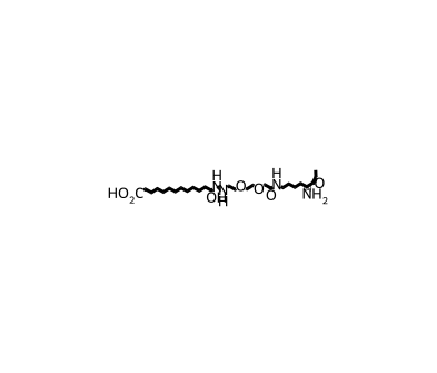 CC1=C([C@@H](N)CCCCNC(=O)COCCOCCNNC(O)CCCCCCCCCCCC(=O)O)O1